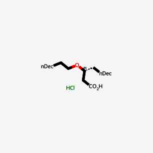 CCCCCCCCCCCCO[C@H](CCCCCCCCCCC)CC(=O)O.Cl